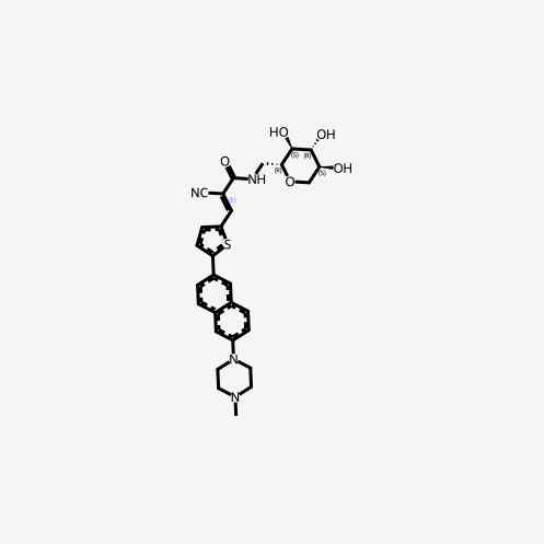 CN1CCN(c2ccc3cc(-c4ccc(/C=C(\C#N)C(=O)NC[C@H]5OC[C@H](O)[C@@H](O)[C@@H]5O)s4)ccc3c2)CC1